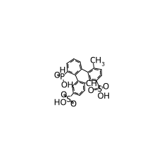 Cc1ccc(S(=O)(=O)O)cc1-c1cccc([PH](=O)O)c1-c1cc(S(=O)(=O)O)ccc1C